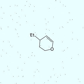 CCC1C=COCC1